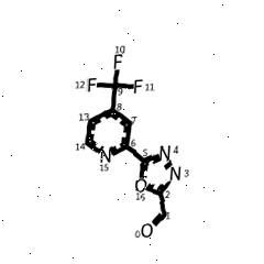 O=Cc1nnc(-c2cc(C(F)(F)F)ccn2)o1